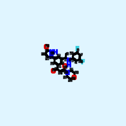 CC(Nc1cc(F)cc(F)c1)c1cc(-n2ccc(=O)[nH]2)cc2c(=O)cc(N3CCOCC3)oc12